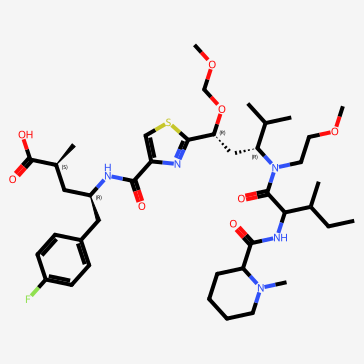 CCC(C)C(NC(=O)C1CCCCN1C)C(=O)N(CCOC)[C@H](C[C@@H](OCOC)c1nc(C(=O)N[C@@H](Cc2ccc(F)cc2)C[C@H](C)C(=O)O)cs1)C(C)C